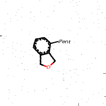 CCCC(C)c1cccc2c1COC2